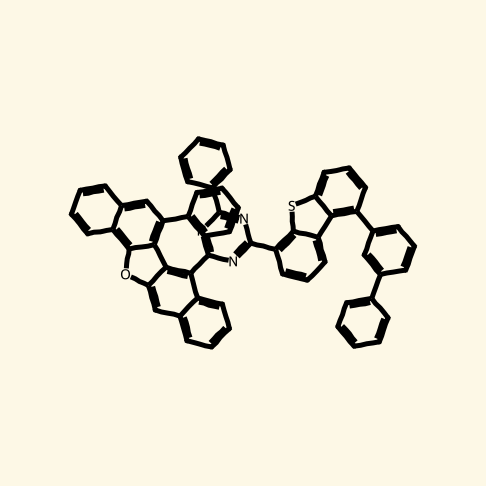 c1ccc(-c2cccc(-c3cccc4sc5c(-c6nc(-c7ccccc7)nc(-c7c8ccccc8cc8oc9c%10ccccc%10cc(-c%10ccccc%10)c9c78)n6)cccc5c34)c2)cc1